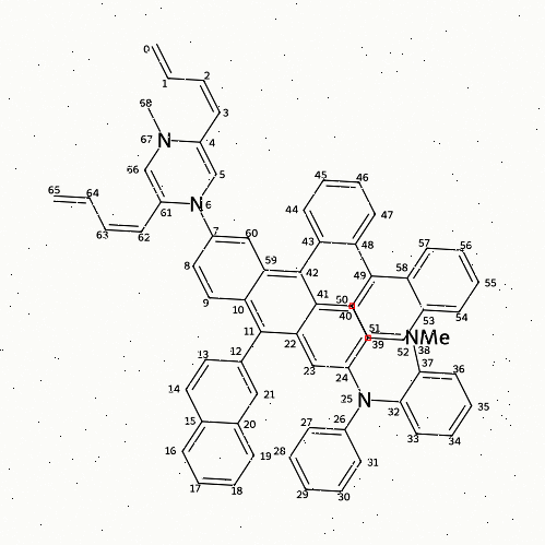 C=C/C=C\C1=CN(c2ccc3c(-c4ccc5ccccc5c4)c4cc(N(c5ccccc5)c5ccccc5NC)ccc4c(-c4ccccc4-c4cccc5ccccc45)c3c2)C(/C=C\C=C)=CN1C